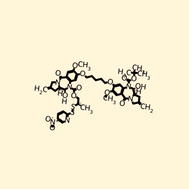 C=C1C[C@H]2[C@H](O)N(C(=O)OC[C@@H](C)SSc3ccc([N+](=O)[O-])cn3)c3cc(OCCCCCOc4cc5c(cc4OC)C(=O)N4CC(=C)C[C@H]4[C@H](O)N5C(=O)OC(C)(C)C)c(OC)cc3C(=O)N2C1